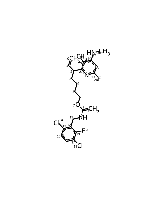 C=CC(CCCCOC(=C)NCc1c(Cl)ccc(Cl)c1F)c1nc(F)nc(NC)c1C